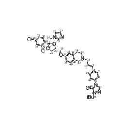 CCC(C)n1ncn(-c2ccc(/C=C/CN3CCc4cc(OC[C@@H]5CO[C@@](Cn6ccnc6)(c6ccc(Cl)cc6Cl)O5)ccc4C3)cc2)c1=O